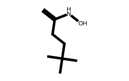 C=C(CCC(C)(C)C)NO